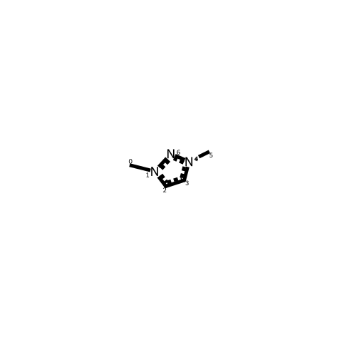 Cn1cc[n+](C)n1